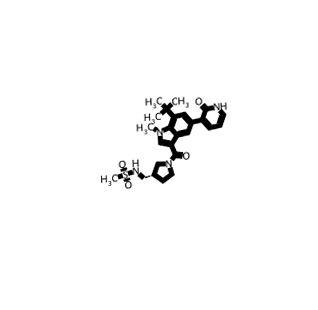 Cn1cc(C(=O)N2CC[C@H](CNS(C)(=O)=O)C2)c2cc(-c3ccc[nH]c3=O)cc(C(C)(C)C)c21